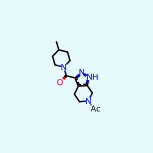 CC(=O)N1CCc2c(C(=O)N3CCC(C)CC3)n[nH]c2C1